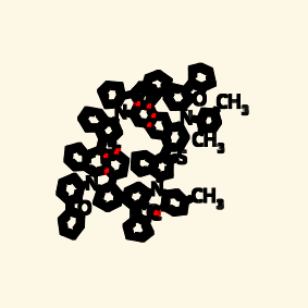 Cc1ccc(C)c(N(c2cc3sc4cc(N(c5cc(C)ccc5C)c5cccc6c5oc5ccccc56)c5cc(-c6cccc(-c7ccccc7N(c7cc8sc9cc(N(c%10ccccc%10-c%10ccccc%10)c%10cccc%11c%10oc%10ccccc%10%11)c%10ccccc%10c9c8c8ccccc78)c7cccc8c7oc7ccccc78)c6)ccc5c4c3c3ccccc23)c2cccc3c2oc2ccccc23)c1